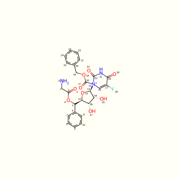 NCC(=O)OC(c1ccccc1)[C@H]1O[C@@H]([N+]2(C(=O)OCc3ccccc3)C=C(F)C(=O)NC2=O)[C@H](O)[C@@H]1O